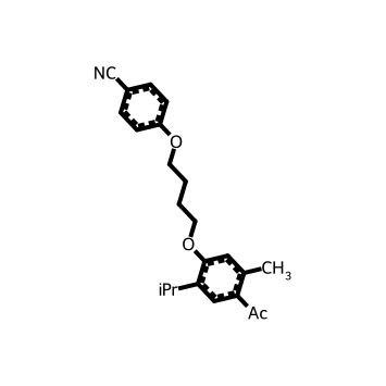 CC(=O)c1cc(C(C)C)c(OCCCCOc2ccc(C#N)cc2)cc1C